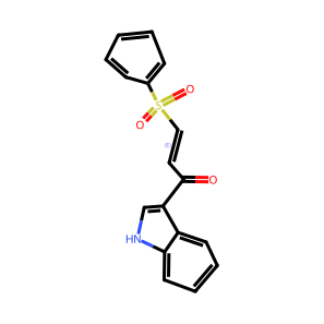 O=C(/C=C/S(=O)(=O)c1ccccc1)c1c[nH]c2ccccc12